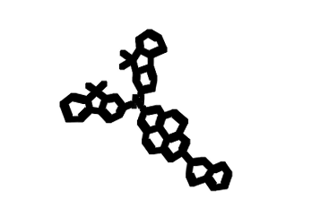 CC1(C)c2ccccc2-c2ccc(N(c3ccc4c(c3)C(C)(C)c3ccccc3-4)c3cc4ccc5cc(-c6ccc7ccccc7c6)cc6ccc(c3)c4c56)cc21